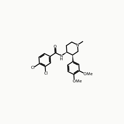 COc1ccc([C@@H]2CN(C)CC[C@@H]2NC(=O)c2ccc(Cl)c(Cl)c2)cc1OC